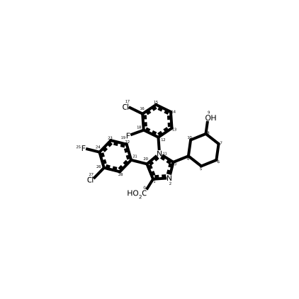 O=C(O)c1nc(C2CCCC(O)C2)n(-c2cccc(Cl)c2F)c1-c1ccc(F)c(Cl)c1